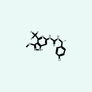 COc1n[nH]c2cc(NC(=O)N[C@H](C)c3ccc(Cl)cc3)nc(C(F)(F)F)c12